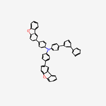 c1ccc(-c2cccc(-c3ccc(N(c4ccc(-c5ccc6oc7ccccc7c6c5)cc4)c4ccc(-c5ccc6oc7ccccc7c6c5)cc4)cc3)c2)cc1